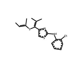 C/C=C(\C)SC(=C(C)C)c1csc(Nc2ccccc2CC)n1